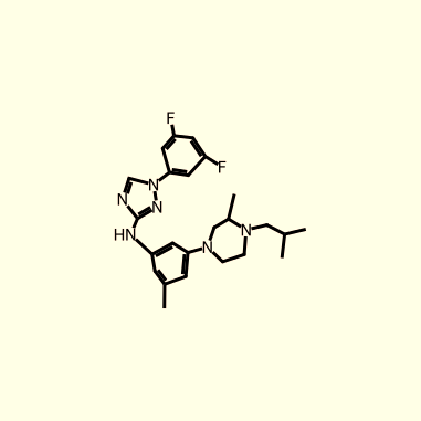 Cc1cc(Nc2ncn(-c3cc(F)cc(F)c3)n2)cc(N2CCN(CC(C)C)C(C)C2)c1